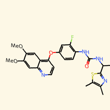 COc1cc2nccc(Oc3ccc(NC(=O)NC(C)c4nc(C)c(C)s4)c(F)c3)c2cc1OC